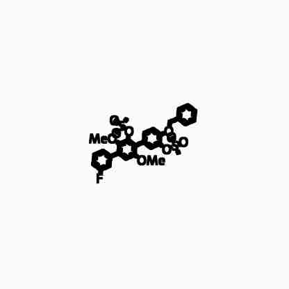 COc1cc(-c2cccc(F)c2)c(OC)c(OS(C)(=O)=O)c1-c1ccc(OCc2ccccc2)c(OS(C)(=O)=O)c1